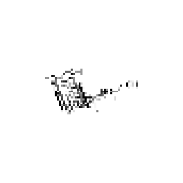 C=C.C=C.C=C.C=C.C=C.C=C.C=C.C=C.OCCO.OCCO